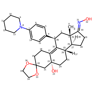 C[C@]12C[C@H](c3ccc(N4CCCCC4)cc3)C3=C4CCC5(C[C@]4(O)CC[C@H]3[C@@H]1CCC2=NO)OCCO5